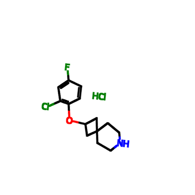 Cl.Fc1ccc(OC2CC3(CCNCC3)C2)c(Cl)c1